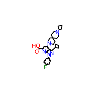 O=C(O)c1cc(N2CCC3(CC2)CCN(C2CCC2)CC3)c2c(C3CCC3)nn(-c3ccc(F)cc3)c2n1